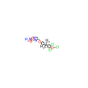 CC(C)(c1ccc(OCc2ccnc(CS(N)(=O)=O)n2)cc1)c1cc(Cl)c(OCCCl)c(Cl)c1